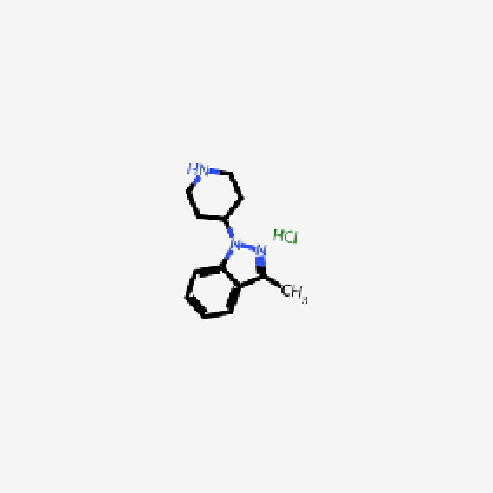 Cc1nn(C2CCNCC2)c2ccccc12.Cl